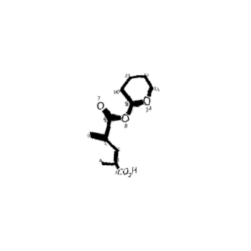 C=C(C=C(C)C(=O)O)C(=O)OC1CCCCO1